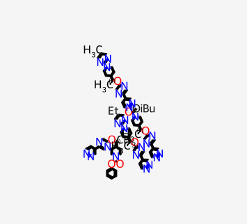 CC(C)COC(=O)N1CCC([C@H](C)Oc2cnc(-c3ccnnc3)cn2)CC1.CCc1cnc(N2CCC([C@H](C)Oc3cnc(-c4ccnnc4)cn3)CC2)nc1.C[C@H](Oc1cnc(-c2ccnnc2)cn1)C1CCN(C(=O)Oc2ccccc2)CC1.Cc1cnc(N2CCC([C@H](C)Oc3cnc(-c4ccnnc4)cn3)CC2)nc1